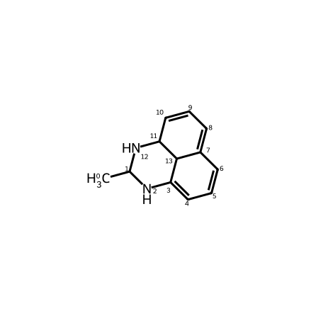 CC1NC2=CC=CC3=CC=CC(N1)C32